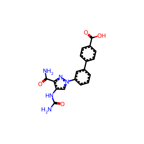 NC(=O)Nc1cn(-c2cccc(-c3ccc(C(=O)O)cc3)c2)nc1C(N)=O